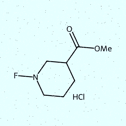 COC(=O)C1CCCN(F)C1.Cl